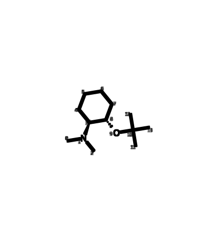 CN(C)[C@H]1CCCC[C@@H]1OC(C)(C)C